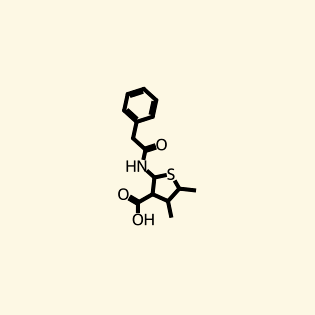 CC1SC(NC(=O)Cc2ccccc2)C(C(=O)O)C1C